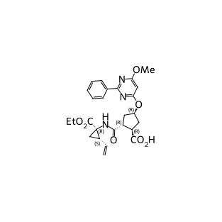 C=C[C@@H]1C[C@]1(NC(=O)[C@@H]1C[C@@H](Oc2cc(OC)nc(-c3ccccc3)n2)C[C@H]1C(=O)O)C(=O)OCC